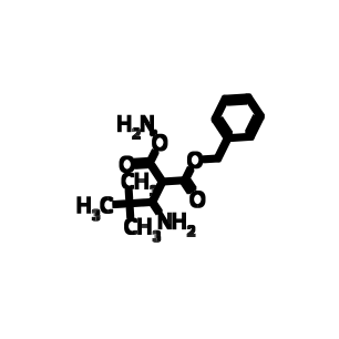 CC(C)(C)C(N)C(C(=O)ON)C(=O)OCc1ccccc1